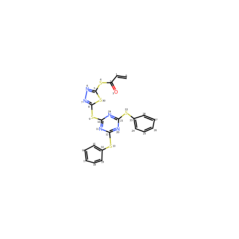 C=CC(=O)Sc1nnc(Sc2nc(Sc3ccccc3)nc(Sc3ccccc3)n2)s1